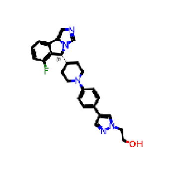 OCCn1cc(-c2ccc(N3CCC([C@@H]4c5c(F)cccc5-c5cncn54)CC3)cc2)cn1